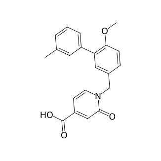 COc1ccc(Cn2ccc(C(=O)O)cc2=O)cc1-c1cccc(C)c1